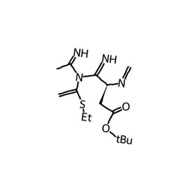 C=N[C@@H](CC(=O)OC(C)(C)C)C(=N)N(C(=C)SCC)C(C)=N